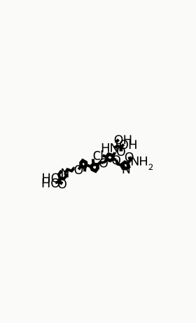 Cc1c(COc2cc(OCc3cncc(C(N)=O)c3)c(CN[C@H](CO)C(=O)O)cc2Cl)cccc1-c1cccc(OCCCN2CCC(O)(C(=O)O)CC2)c1C